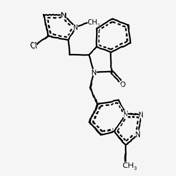 Cc1nnn2cc(CN3C(=O)c4ccccc4C3Cc3c(Cl)cnn3C)ccc12